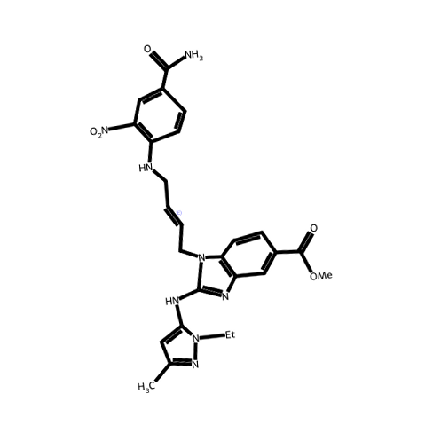 CCn1nc(C)cc1Nc1nc2cc(C(=O)OC)ccc2n1C/C=C/CNc1ccc(C(N)=O)cc1[N+](=O)[O-]